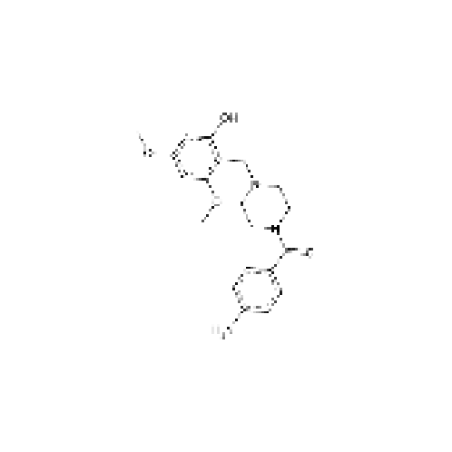 COc1cc(O)c(CN2CCN(C(=O)c3ccc(N)cc3)CC2)c(OC)c1